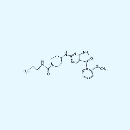 CCCNC(=O)N1CCC(Nc2ncc(C(=O)c3ccccc3OC)c(N)n2)CC1